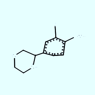 COc1ccc(C2CNCCN2)cc1Br